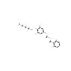 O=C(NC(=O)c1c(F)cccc1F)Nc1cc(Cl)c(OCC(F)(F)C(F)(F)C(F)(F)C(F)F)c(Cl)c1